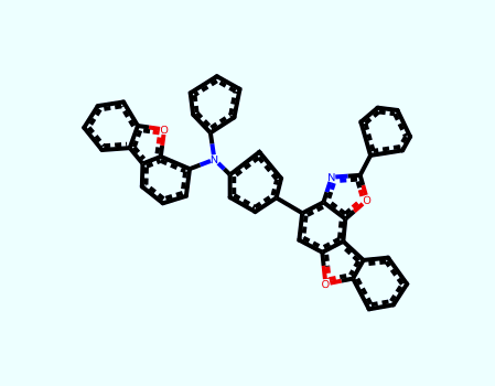 c1ccc(-c2nc3c(-c4ccc(N(c5ccccc5)c5cccc6c5oc5ccccc56)cc4)cc4oc5ccccc5c4c3o2)cc1